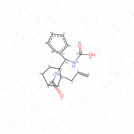 C=CCN1C(=O)C2CCC1(C(NC(=O)O)c1ccccc1)CC2